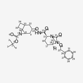 CC(C)(C)OC(=O)N1C2CC(ONC(=O)[C@@H]3CC[C@H]4CN3C(=O)N4OCc3ccccc3)CC3CCC321